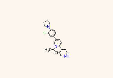 CC(C)N1CC(c2ccc(N3CCCC3)c(F)c2)=CC=C1C1CCNCC1